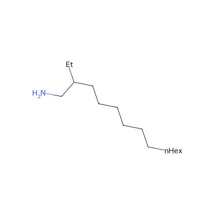 CCCCCCCCCCCCC(CC)CN